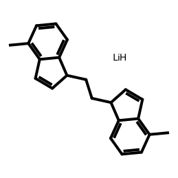 Cc1cccc2c1C=CC2CCC1C=Cc2c(C)cccc21.[LiH]